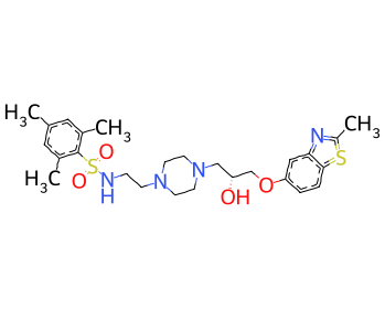 Cc1cc(C)c(S(=O)(=O)NCCN2CCN(C[C@@H](O)COc3ccc4sc(C)nc4c3)CC2)c(C)c1